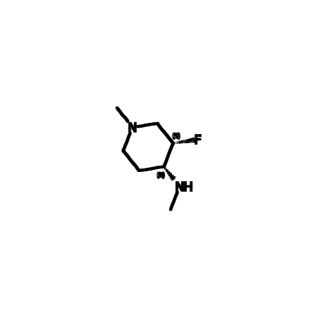 CN[C@@H]1CCN(C)C[C@@H]1F